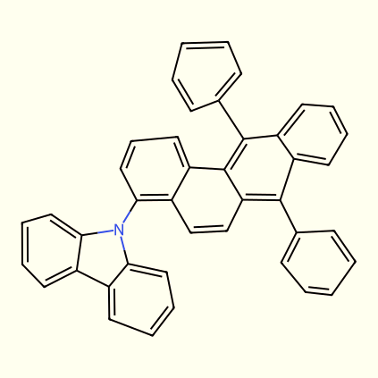 c1ccc(-c2c3ccccc3c(-c3ccccc3)c3c2ccc2c(-n4c5ccccc5c5ccccc54)cccc23)cc1